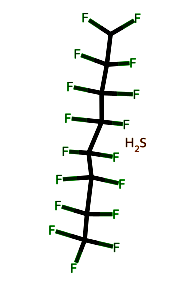 FC(F)C(F)(F)C(F)(F)C(F)(F)C(F)(F)C(F)(F)C(F)(F)C(F)(F)F.S